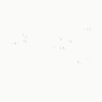 C/C=C(\C=C/N(C)C=O)c1cccc(C(=O)/N=c2\[nH]c3cc(N4CCOCC4=O)ccc3n2CCCO)c1